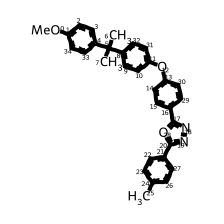 COc1ccc(C(C)(C)c2ccc(Oc3ccc(-c4nnc(-c5ccc(C)cc5)o4)cc3)cc2)cc1